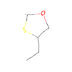 CCC1CO[CH]S1